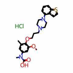 COc1cc(N(C)C(=O)O)cc(C)c1OCCCN1CCN(c2cccc3sccc23)CC1.Cl